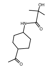 CC(=O)C1CCC(NC(=O)C(C)(C)O)CC1